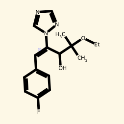 CCOC(C)(C)C(O)/C(=C\c1ccc(F)cc1)n1cncn1